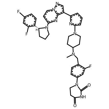 CN(Cc1ccc(N2CCC(=O)NC2=O)cc1F)C1CCN(c2cccc(-c3cnn4ccc(N5CCC[C@@H]5c5ccc(F)cc5F)nc34)n2)CC1